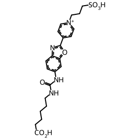 O=C(O)CCCCCNC(=O)Nc1ccc2nc(-c3cc[n+](CCCS(=O)(=O)O)cc3)oc2c1